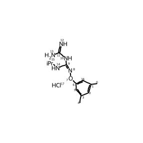 Cc1cc(C)cc(ON=C(NC(=N)N)NC(C)C)c1.Cl